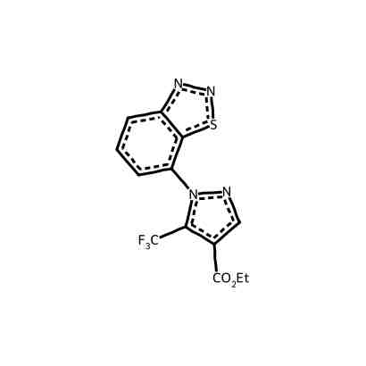 CCOC(=O)c1cnn(-c2cccc3nnsc23)c1C(F)(F)F